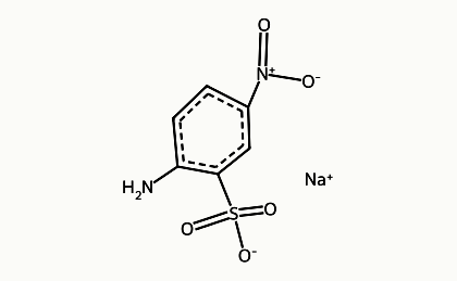 Nc1ccc([N+](=O)[O-])cc1S(=O)(=O)[O-].[Na+]